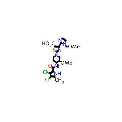 COCn1ccnc1-c1nc(N2CC[C@@H](NC(=O)c3[nH]c(C)c(Cl)c3Cl)[C@@H](OC)C2)sc1C(=O)O